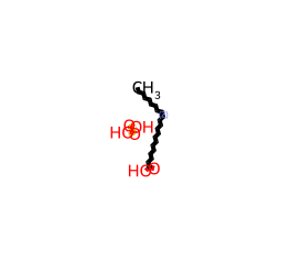 CCCCCCCC/C=C\CCCCCCCCCCCC(=O)O.O=S(=O)(O)O